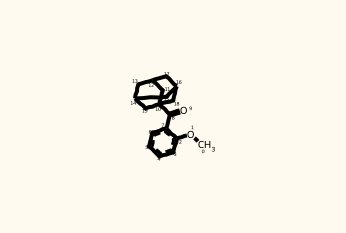 COc1ccccc1C(=O)C12CC3CC(CC(C3)C1)C2